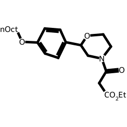 CCCCCCCCOc1ccc(C2CN(C(=O)CC(=O)OCC)CCO2)cc1